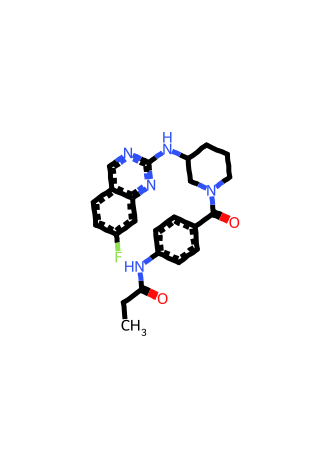 CCC(=O)Nc1ccc(C(=O)N2CCCC(Nc3ncc4ccc(F)cc4n3)C2)cc1